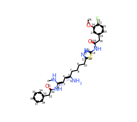 CN/C(=C\C=C(/N)CCCCc1nnc(NC(=O)Cc2ccc(F)c(OC)c2)s1)NC(=O)Cc1ccccc1